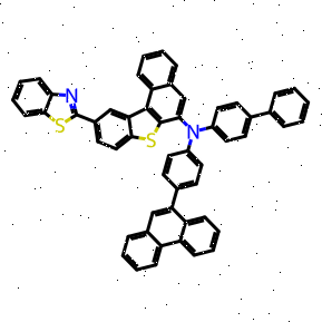 c1ccc(-c2ccc(N(c3ccc(-c4cc5ccccc5c5ccccc45)cc3)c3cc4ccccc4c4c3sc3ccc(-c5nc6ccccc6s5)cc34)cc2)cc1